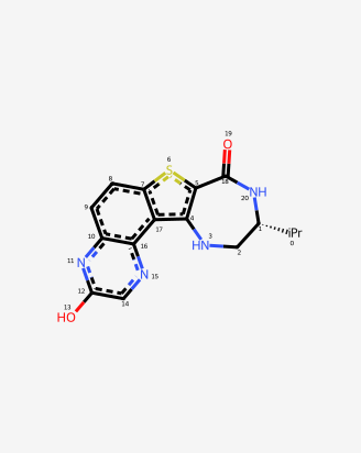 CC(C)[C@@H]1CNc2c(sc3ccc4nc(O)cnc4c23)C(=O)N1